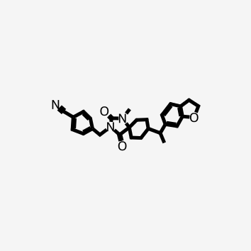 CC(c1ccc2c(c1)OCC2)C1CCC2(CC1)C(=O)N(Cc1ccc(C#N)cc1)C(=O)N2C